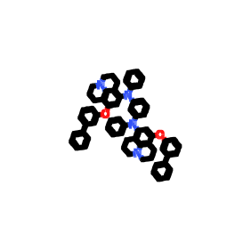 c1ccc(-c2cccc(Oc3cc(N(c4ccccc4)c4cccc(N(c5ccccc5)c5cc(Oc6cccc(-c7ccccc7)c6)c6c7c5CCCN7CCC6)c4)c4c5c3CCCN5CCC4)c2)cc1